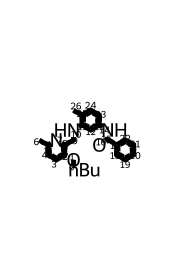 CCCCOc1ccc(C)nc1CNc1cc(NC(=O)c2ccccc2)ccc1C